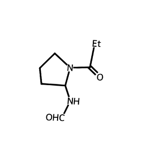 CCC(=O)N1CCCC1NC=O